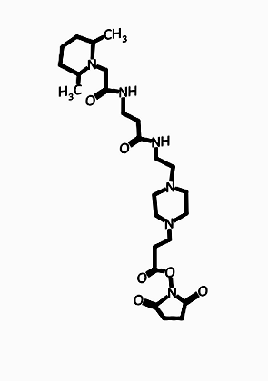 CC1CCCC(C)N1CC(=O)NCCC(=O)NCCN1CCN(CCC(=O)ON2C(=O)CCC2=O)CC1